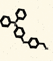 CC(=O)Cc1ccc(Sc2ccc([SH](c3ccccc3)c3ccccc3)cc2)cc1